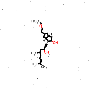 CC(C)=CCCC(C)C[C@@H](O)C#C[C@@H]1[C@@H]2CC(CCOCC(=O)O)C[C@@H]2C[C@H]1O